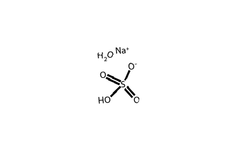 O.O=S(=O)([O-])O.[Na+]